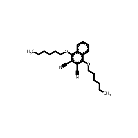 CCCCCCOc1c(C#N)c(C#N)c(OCCCCCC)c2ccccc12